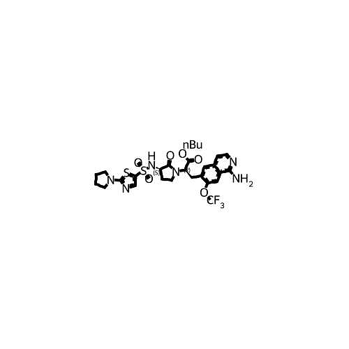 CCCCOC(=O)[C@@H](Cc1cc2ccnc(N)c2cc1OC(F)(F)F)N1CC[C@H](NS(=O)(=O)c2cnc(N3CCCC3)s2)C1=O